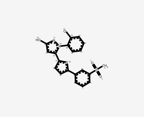 CS(=O)(=O)c1cccc(-c2ccc(-c3cc(O)nn3-c3ccccc3Cl)s2)c1